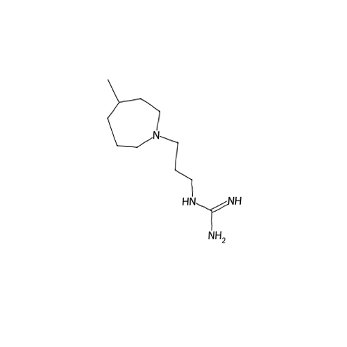 CC1CCCN(CCCNC(=N)N)CC1